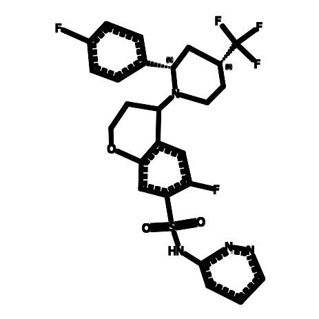 O=S(=O)(Nc1cccnn1)c1cc2c(cc1F)C(N1CC[C@@H](C(F)(F)F)C[C@H]1c1ccc(F)cc1)CCO2